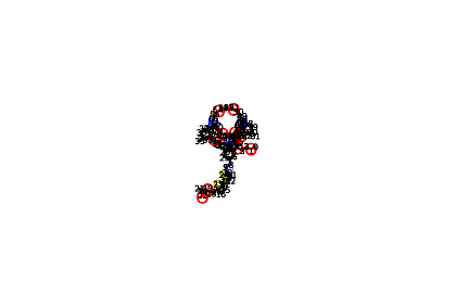 COCCOc1cc(/C=C/c2ccc(-c3ccc(COC(C)=O)s3)s2)ccc1N1CCOc2cc(C)ccc2N2CCOCCOCCN(CCOCCOCC2)c2ccc(C)cc2OCC1